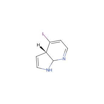 IC1=CC=NC2NC=C[C@H]12